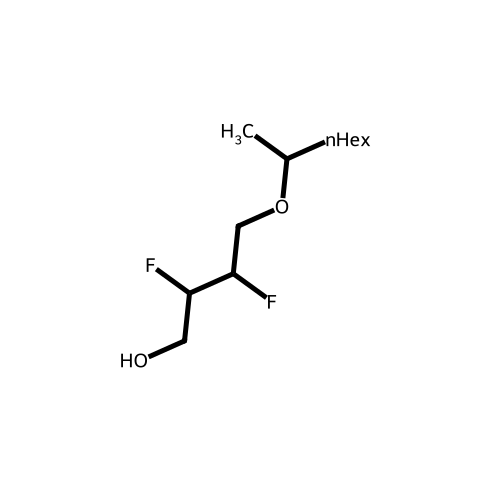 CCCCCCC(C)OCC(F)C(F)CO